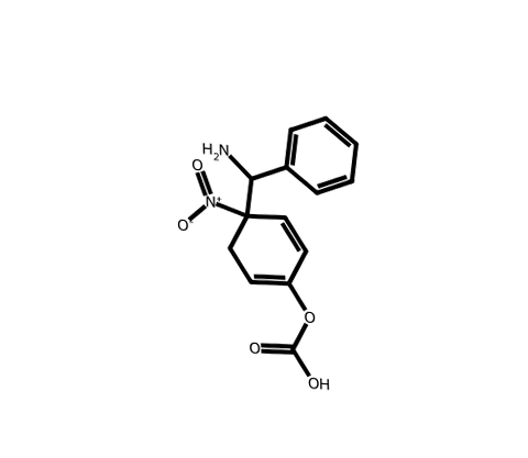 NC(c1ccccc1)C1([N+](=O)[O-])C=CC(OC(=O)O)=CC1